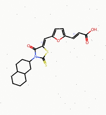 O=C(O)/C=C/c1ccc(/C=C2\SC(=S)N(C3CCC4CCCCC4C3)C2=O)o1